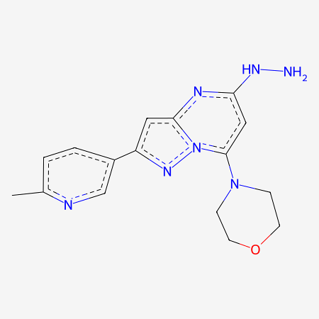 Cc1ccc(-c2cc3nc(NN)cc(N4CCOCC4)n3n2)cn1